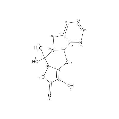 CC1(O)C2OC(=O)C(O)=C2SC2c3ncccc3CN21